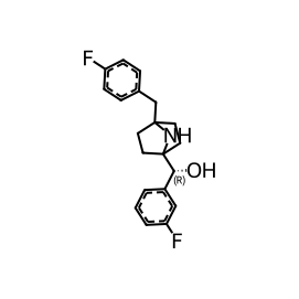 O[C@H](c1cccc(F)c1)C12CCC(Cc3ccc(F)cc3)(CC1)N2